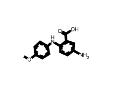 COc1ccc(Nc2ccc(N)cc2C(=O)O)cc1